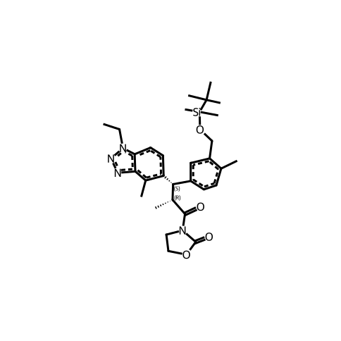 CCn1nnc2c(C)c([C@H](c3ccc(C)c(CO[Si](C)(C)C(C)(C)C)c3)[C@@H](C)C(=O)N3CCOC3=O)ccc21